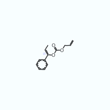 C=CCOC(=O)O/C(=C\C)c1ccccc1